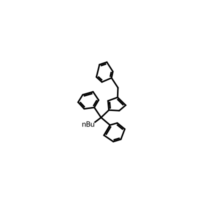 CCCCC(C1=CC(Cc2ccccc2)=CC1)(c1ccccc1)c1ccccc1